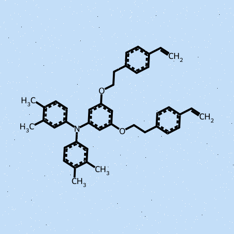 C=Cc1ccc(CCOc2cc(OCCc3ccc(C=C)cc3)cc(N(c3ccc(C)c(C)c3)c3ccc(C)c(C)c3)c2)cc1